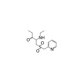 CCNC(CS(=O)(=O)Cc1ccccn1)C(=O)CC